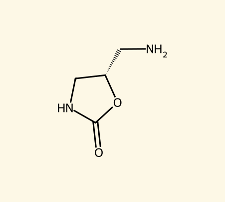 NC[C@H]1CNC(=O)O1